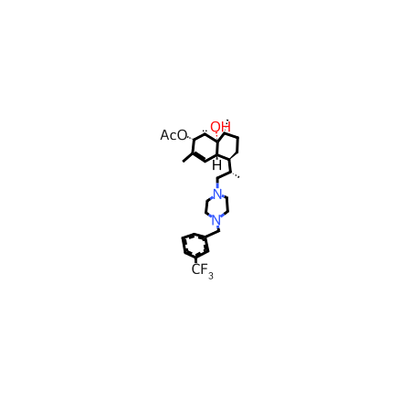 CC(=O)O[C@@H]1[C][C@@]2(O)[C@H](C)CC[C@@H]([C@H](C)CN3CCN(Cc4cccc(C(F)(F)F)c4)CC3)[C@H]2C=C1C